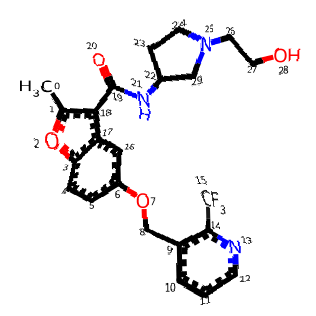 Cc1oc2ccc(OCc3cccnc3C(F)(F)F)cc2c1C(=O)NC1CCN(CCO)C1